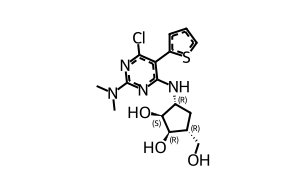 CN(C)c1nc(Cl)c(-c2cccs2)c(N[C@@H]2C[C@H](CO)[C@@H](O)[C@H]2O)n1